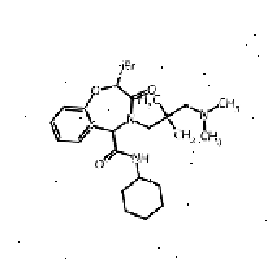 CC(C)C1Oc2ccccc2C(C(=O)NC2CCCCC2)N(CC(C)(C)CN(C)C)C1=O